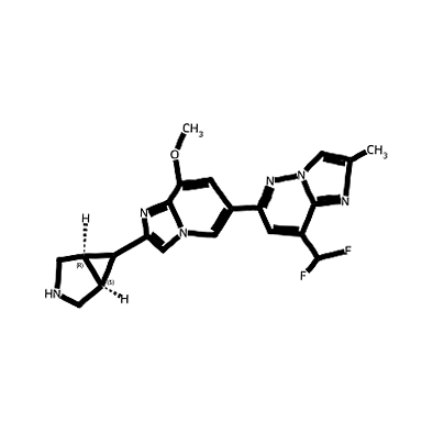 COc1cc(-c2cc(C(F)F)c3nc(C)cn3n2)cn2cc(C3[C@H]4CNC[C@@H]34)nc12